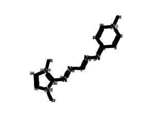 Cn1ccc(=NN=CN=Nc2n(C)cc[n+]2C)cc1